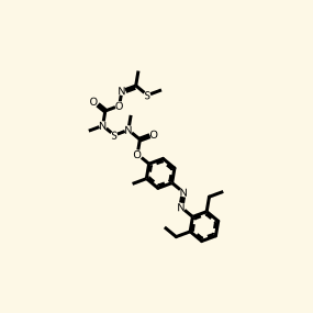 CCc1cccc(CC)c1N=Nc1ccc(OC(=O)N(C)SN(C)C(=O)ON=C(C)SC)c(C)c1